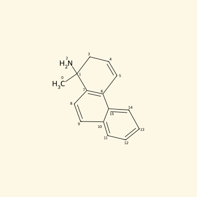 CC1(N)CC=Cc2c1ccc1ccccc21